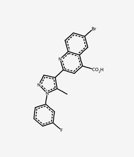 Cc1c(-c2cc(C(=O)O)c3cc(Br)ccc3n2)cnn1-c1cccc(F)c1